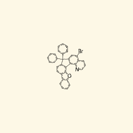 Brc1cc2c(c3ncccc13)-c1c(ccc3c1oc1ccccc13)C2(c1ccccc1)c1ccccc1